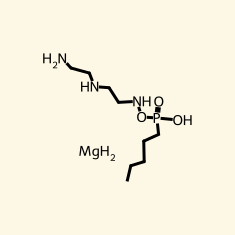 CCCCCP(=O)(O)ONCCNCCN.[MgH2]